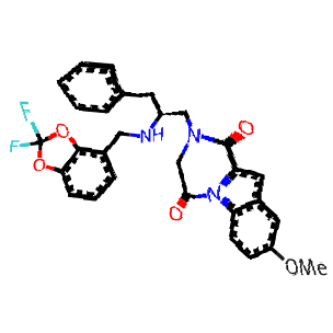 COc1ccc2c(c1)cc1n2C(=O)CN(C[C@H](Cc2ccccc2)NCc2cccc3c2OC(F)(F)O3)C1=O